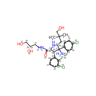 CC(C)(CO)C[C@@H]1N[C@@H](C(=O)NCC[C@H](O)CO)[C@H](c2cccc(Cl)c2F)[C@@]1(N)c1ccc(Cl)cc1F